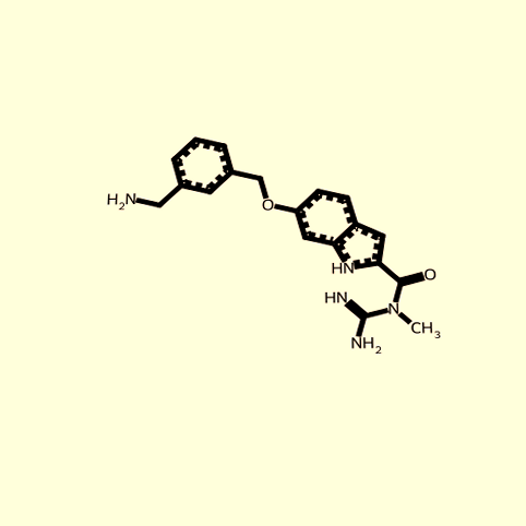 CN(C(=N)N)C(=O)c1cc2ccc(OCc3cccc(CN)c3)cc2[nH]1